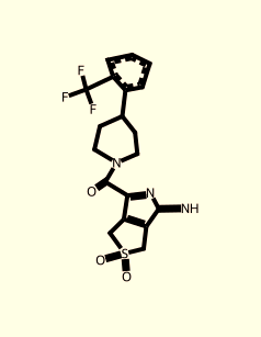 N=C1N=C(C(=O)N2CCC(c3ccccc3C(F)(F)F)CC2)C2=C1CS(=O)(=O)C2